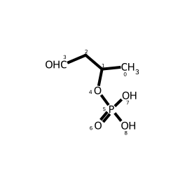 CC(CC=O)OP(=O)(O)O